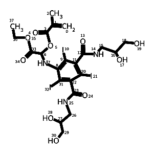 C=C(C)C(=O)OC(Nc1c(I)c(C(=O)NCC(O)CO)c(I)c(C(=O)NCC(O)CO)c1I)C(=O)OCC